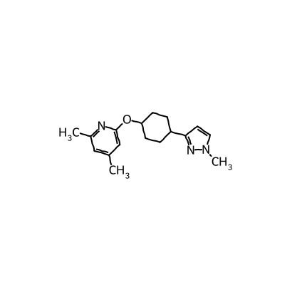 Cc1cc(C)nc(OC2CCC(c3ccn(C)n3)CC2)c1